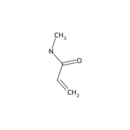 C=CC(=O)[N]C